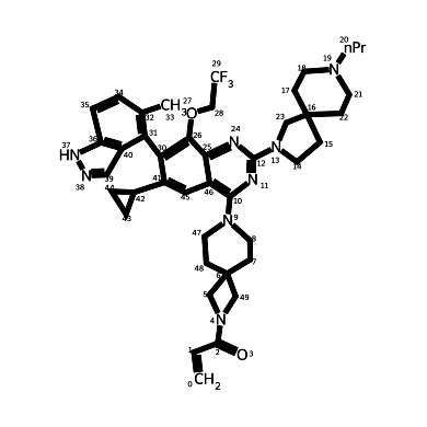 C=CC(=O)N1CC2(CCN(c3nc(N4CCC5(CCN(CCC)CC5)C4)nc4c(OCC(F)(F)F)c(-c5c(C)ccc6[nH]ncc56)c(C5CC5)cc34)CC2)C1